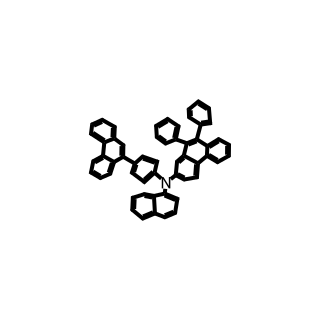 c1ccc(-c2c(-c3ccccc3)c3cc(N(c4ccc(-c5cc6ccccc6c6ccccc56)cc4)c4cccc5ccccc45)ccc3c3ccccc23)cc1